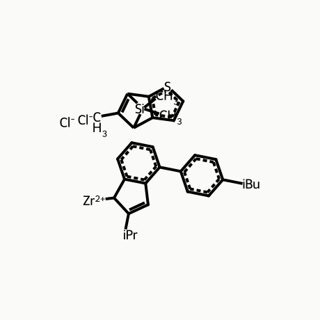 CC1=C2c3sccc3C1[Si]2(C)C.CCC(C)c1ccc(-c2cccc3c2C=C(C(C)C)[CH]3[Zr+2])cc1.[Cl-].[Cl-]